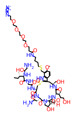 CC[C@H](C)[C@H](NC(O)CN)C(=O)NCC(=O)N[C@H]1C[S+]([O-])c2[nH]c3c(CSCCCCNC(=O)CCOCCOCCOCCOCCN=[N+]=[N-])c(OC)ccc3c2C[C@@H](CO)NC(=O)[C@H]([C@@H](C)[C@@H](O)CO)NC(=O)[C@@H]2C[C@@H](O)CN2C(=O)[C@H](CC(N)=O)NC1=O